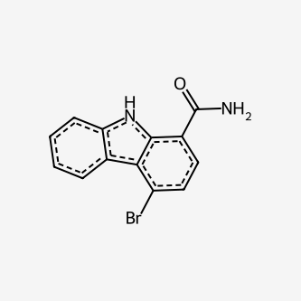 NC(=O)c1ccc(Br)c2c1[nH]c1ccccc12